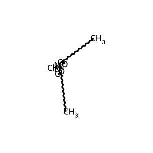 CCCCCCCCCCCCCCCCCC(=O)Oc1nc(Cl)nc(OC(=O)CCCCCCCCCCCCCCCCC)n1